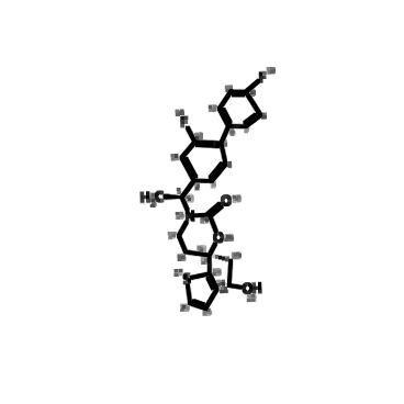 C[C@@H](c1ccc(-c2ccc(F)cc2)c(F)c1)N1CC[C@](CCO)(c2cccs2)OC1=O